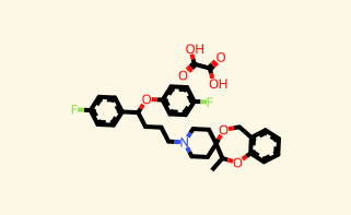 CC1Oc2ccccc2COC12CCN(CCCC(Oc1ccc(F)cc1)c1ccc(F)cc1)CC2.O=C(O)C(=O)O